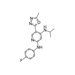 Cc1nnc(-c2cnc(Nc3ccc(F)cc3)cc2NC(C)C)o1